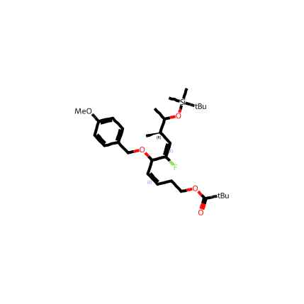 COc1ccc(COC(/C=C\CCOC(=O)C(C)(C)C)/C(F)=C\[C@@H](C)C(C)O[Si](C)(C)C(C)(C)C)cc1